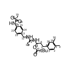 Cc1ccc(CCC(NC(=S)NCc2ccc(NS(C)(=O)=O)cc2)OC(=O)C(C)(C)C)cc1C